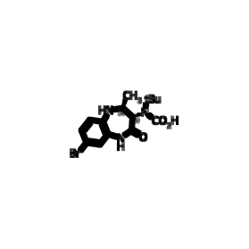 C[C@@H]1Nc2ccc(Br)cc2NC(=O)[C@H]1N(C(=O)O)C(C)(C)C